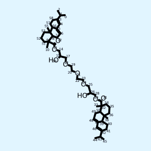 CC(C)C1=CC2=CCC3C(C)(C(=O)OCC(O)COCCOCCOCC(O)COC(=O)C4(C)CCCC5(C)C6CCC(C(C)C)=CC6=CCC45)CCCC3(C)C2CC1